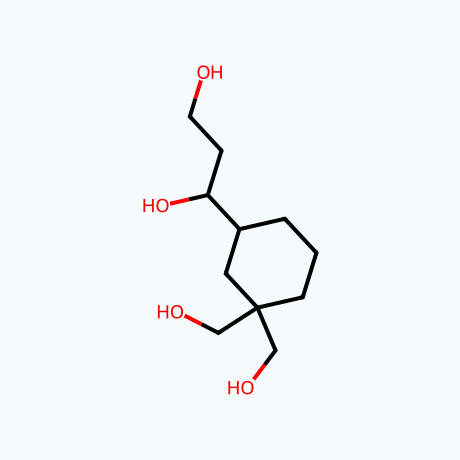 OCCC(O)C1CCCC(CO)(CO)C1